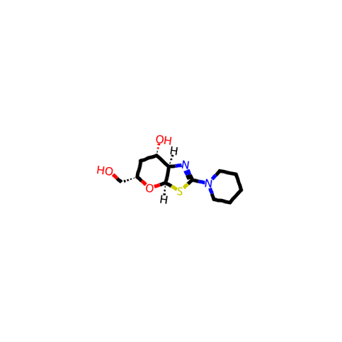 OC[C@@H]1C[C@H](O)[C@H]2N=C(N3CCCCC3)S[C@H]2O1